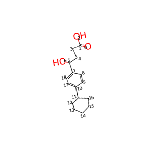 O=C(O)CCC(O)c1ccc(C2CCCCC2)cc1